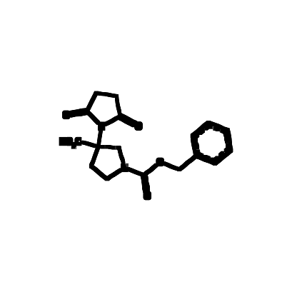 O=C(OCc1ccccc1)N1CCC(C(=O)O)(N2C(=O)CCC2=O)C1